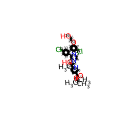 CC(C)(C)OC(=O)c1ccc([C@](C)(O)CN2CCN(c3ccc(OCCO)cc3Cl)[C@H](c3ccc(Cl)cc3)C2)nc1